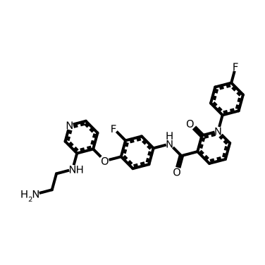 NCCNc1cnccc1Oc1ccc(NC(=O)c2cccn(-c3ccc(F)cc3)c2=O)cc1F